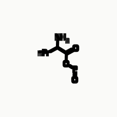 CCCC(N)C(=O)OP=O